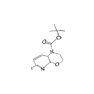 CC(C)(C)OC(=O)N1CCOC2N=C(I)C=CC21